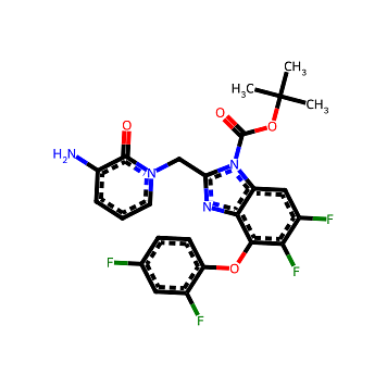 CC(C)(C)OC(=O)n1c(Cn2cccc(N)c2=O)nc2c(Oc3ccc(F)cc3F)c(F)c(F)cc21